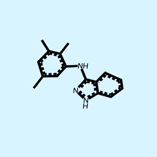 Cc1cc(C)c(C)c(Nc2n[nH]c3ccccc23)c1